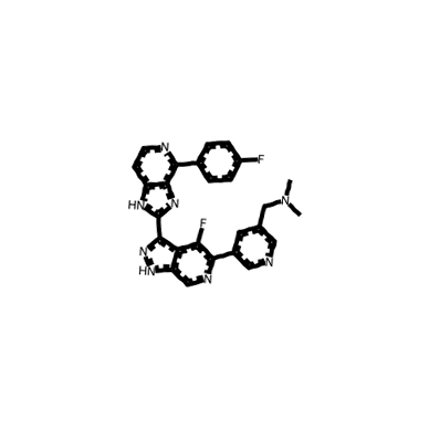 CN(C)Cc1cncc(-c2ncc3[nH]nc(-c4nc5c(-c6ccc(F)cc6)nccc5[nH]4)c3c2F)c1